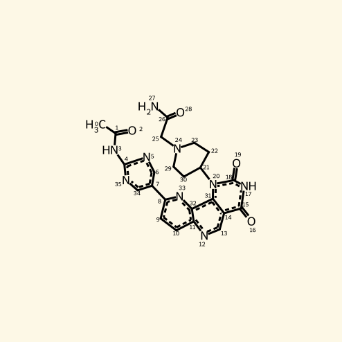 CC(=O)Nc1ncc(-c2ccc3ncc4c(=O)[nH]c(=O)n(C5CCN(CC(N)=O)CC5)c4c3n2)cn1